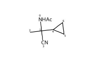 CC(=O)NC(C)(C#N)C1CC1